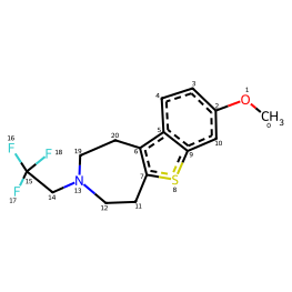 COc1ccc2c3c(sc2c1)CCN(CC(F)(F)F)CC3